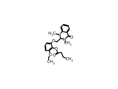 CCCC(=O)Oc1c(OCC)cccc1OCC1N(C)C(=O)c2ccccc2N1C